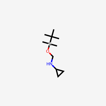 CC(C)(C)[Si](C)(C)OCNC1CC1